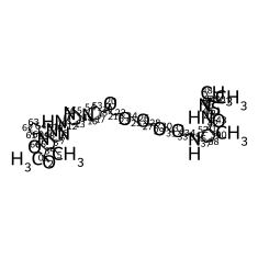 CC(=O)c1c(C)c2cnc(Nc3ccc(N4CCC(C(=O)CCOCCOCCOCCOCCNc5ccc(C)c(C(=O)Nc6nc(C)c(C)s6)c5)CC4)cn3)nc2n(C2CCCC2)c1=O